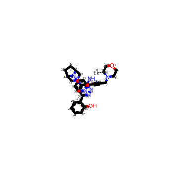 CC[C@@H]1COCCN1CC#Cc1cc(N2C3CCC2CN(c2cc(-c4ccccc4O)nnc2N)C3)ccn1